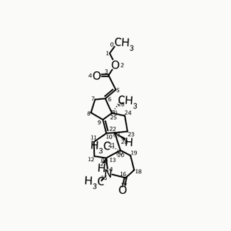 CCOC(=O)C=C1CCC2=C3CC[C@H]4N(C)C(=O)CC[C@]4(C)[C@H]3CC[C@]12C